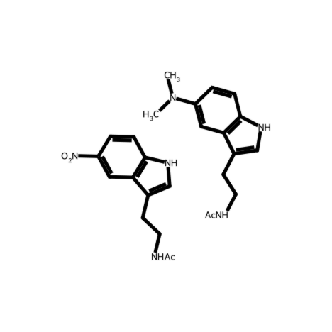 CC(=O)NCCc1c[nH]c2ccc(N(C)C)cc12.CC(=O)NCCc1c[nH]c2ccc([N+](=O)[O-])cc12